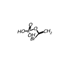 C=C(Br)OP(=O)(O)O